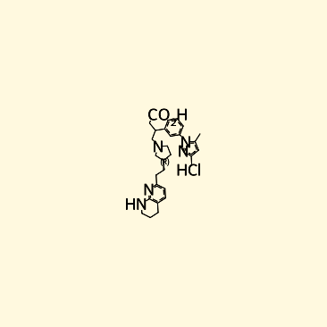 Cc1cc(C)n(-c2cccc(C(CC(=O)O)CN3CC[C@@H](CCc4ccc5c(n4)NCCC5)C3)c2)n1.Cl